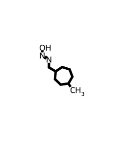 CC1CCCC(CN=NO)CC1